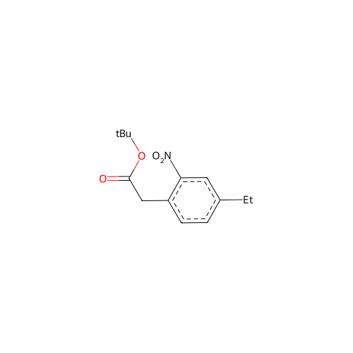 CCc1ccc(CC(=O)OC(C)(C)C)c([N+](=O)[O-])c1